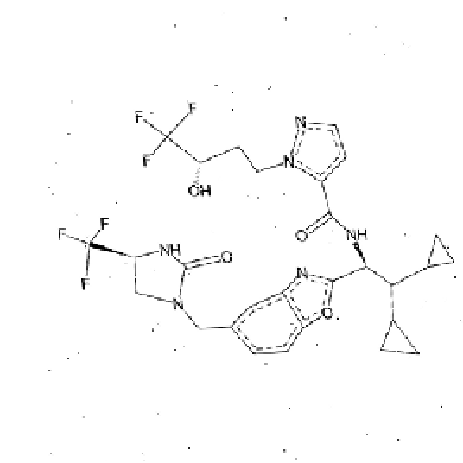 O=C(N[C@H](c1nc2cc(CN3C[C@@H](C(F)(F)F)NC3=O)ccc2o1)C(C1CC1)C1CC1)c1ccnn1CC[C@H](O)C(F)(F)F